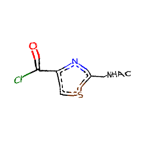 CC(=O)Nc1nc(C(=O)Cl)cs1